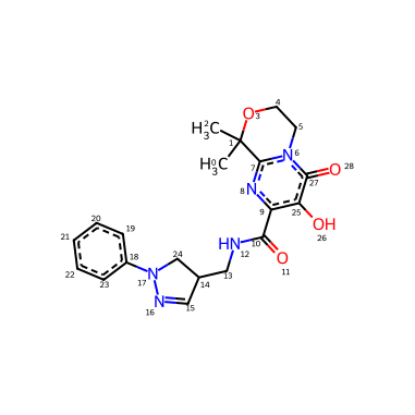 CC1(C)OCCn2c1nc(C(=O)NCC1C=NN(c3ccccc3)C1)c(O)c2=O